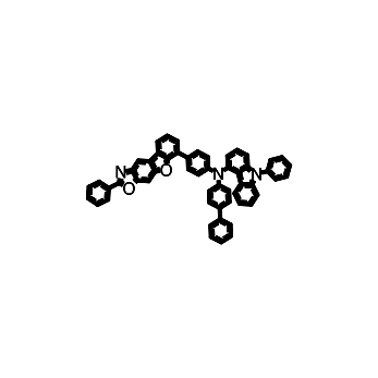 c1ccc(-c2ccc(N(c3ccc(-c4cccc5c4oc4cc6oc(-c7ccccc7)nc6cc45)cc3)c3cccc4c3c3ccccc3n4-c3ccccc3)cc2)cc1